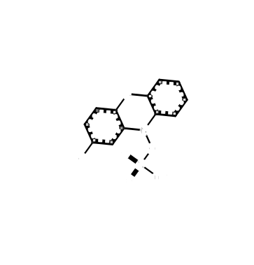 CCCS(=O)(=O)ON1c2ccccc2Sc2ccc(C)cc21